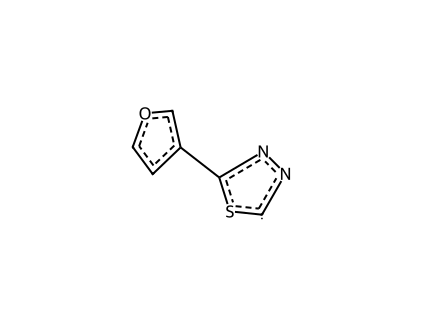 [c]1nnc(-c2ccoc2)s1